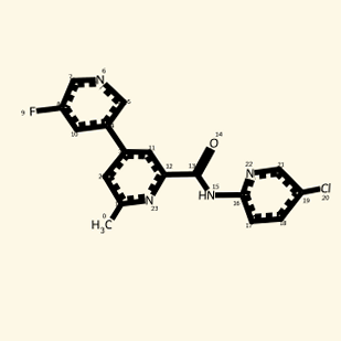 Cc1cc(-c2cncc(F)c2)cc(C(=O)Nc2ccc(Cl)cn2)n1